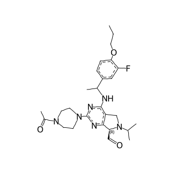 CCCOc1ccc(C(C)Nc2nc(N3CCN(C(C)=O)CC3)nc3c2CN(C(C)C)[C@H]3C=O)cc1F